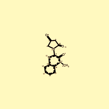 Cn1c(=O)c(N2CC(=O)CC2=O)nc2ccccc21